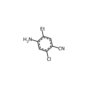 CCc1cc(C#N)c(Cl)cc1N